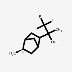 C[C@@H]1CC2CC1CC2C(C)(O)C(F)(F)F